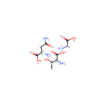 C[C@@H](O)[C@H](N)C(=O)O.NC(=O)C[C@H](N)C(=O)O.NCC(=O)O